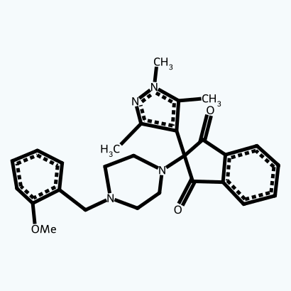 COc1ccccc1CN1CCN(C2(c3c(C)nn(C)c3C)C(=O)c3ccccc3C2=O)CC1